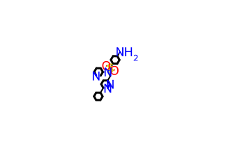 Nc1ccc(S(=O)(=O)N(Cc2ccc(-c3ccccc3)nn2)c2cccnc2)cc1